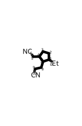 [CH2]CC1C[CH]C(CC#N)C1CCC#N